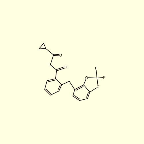 O=C(CC(=O)C1CC1)c1ccccc1Cc1cccc2c1OC(F)(F)O2